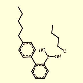 CCCCCc1ccc(-c2ccccc2B(O)O)cc1.[Li][CH2]CCC